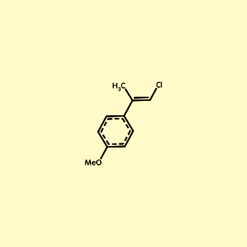 COc1ccc(/C(C)=C/Cl)cc1